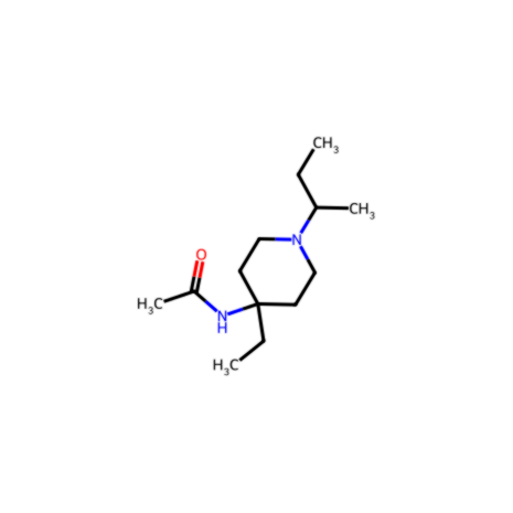 CCC(C)N1CCC(CC)(NC(C)=O)CC1